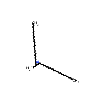 [CH2]CCCc1cc(CCCCCCCCCCCCCCCCCCCCCCCCCCCC)nc(CCCCCCCCCCCCCCCCCCCCCCCCCCCC)c1